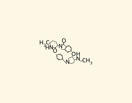 C=C1CCC(N2Cc3cc(OC4CN(Cc5ccccc5)CCC4NCC)ccc3C2=O)C(=O)N1